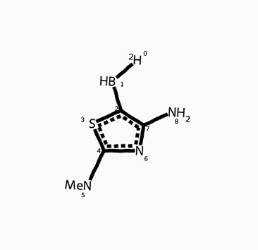 [2H]Bc1sc(NC)nc1N